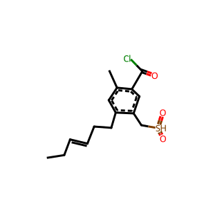 CCC=CCCc1cc(C)c(C(=O)Cl)cc1C[SH](=O)=O